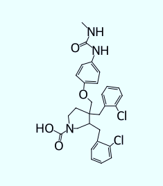 CNC(=O)Nc1ccc(OCC2(Cc3ccccc3Cl)CCN(C(=O)O)CC2Cc2ccccc2Cl)cc1